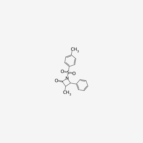 Cc1ccc(S(=O)(=O)N2C(=O)C(C)C2c2ccccc2)cc1